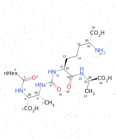 CCCCCCC(=O)N[C@@H](C(=O)O)[C@@H](C)NC(=O)N[C@@H](CCC[C@@H](N)C(=O)O)C(=O)N[C@H](C)C(=O)O